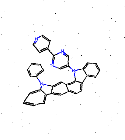 c1ccc(-n2c3ccccc3c3cc4ccc5c6ccccc6n(-c6cnc(-c7ccncc7)nc6)c5c4cc32)cc1